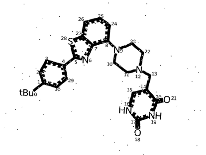 CC(C)(C)c1ccc(-c2nc3c(N4CCN(Cc5c[nH]c(=O)[nH]c5=O)CC4)cccc3s2)cc1